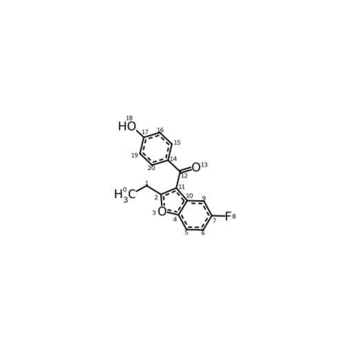 CCc1oc2ccc(F)cc2c1C(=O)c1ccc(O)cc1